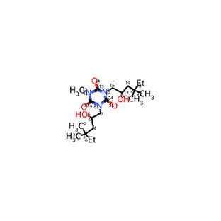 CCC(C)(C)CC(O)Cn1c(=O)n(C)c(=O)n(CC(O)CC(C)(C)CC)c1=O